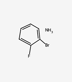 Fc1ccccc1Br.N